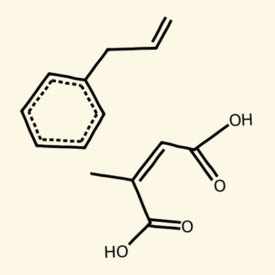 C/C(=C/C(=O)O)C(=O)O.C=CCc1ccccc1